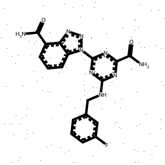 NC(=O)c1nc(NCc2cccc(F)c2)nc(-n2nnc3c(C(N)=O)cccc32)n1